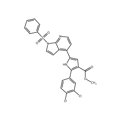 COC(=O)c1cc(-c2ccnc3c2ccn3S(=O)(=O)c2ccccc2)[nH]c1-c1ccc(Cl)c(Cl)c1